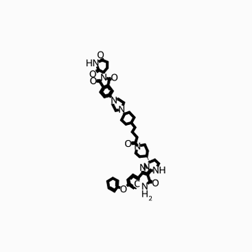 NC(=O)c1c(-c2ccc(OC3=CCCC=C3)cc2)nn2c1NCC[C@H]2C1CCN(C(=O)CCCC2CCC(N3CCN(c4ccc5c(c4)C(=O)N(C4CCC(=O)NC4=O)C5=O)CC3)CC2)CC1